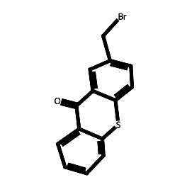 O=c1c2ccccc2sc2ccc(CBr)cc12